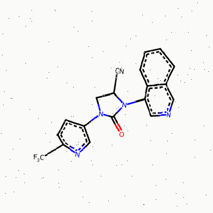 N#CC1CN(c2ccc(C(F)(F)F)nc2)C(=O)N1c1cncc2ccccc12